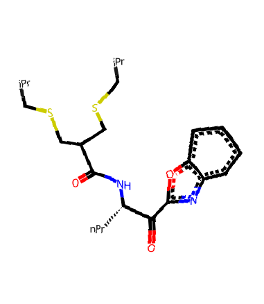 CCC[C@H](NC(=O)C(CSCC(C)C)CSCC(C)C)C(=O)c1nc2ccccc2o1